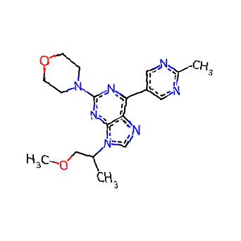 COCC(C)n1cnc2c(-c3cnc(C)nc3)nc(N3CCOCC3)nc21